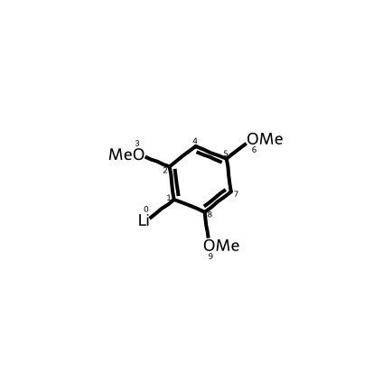 [Li][c]1c(OC)cc(OC)cc1OC